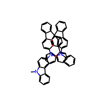 Cn1c2ccccc2c2cc(N(c3ccc4c(c3)C3(c5ccccc5-c5ccc(N(c6ccccc6)c6ccccc6)cc53)c3ccccc3-4)c3ccccc3-c3ccccc3)ccc21